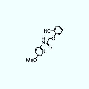 COc1ccc(NC(=O)COc2ccccc2C#N)nc1